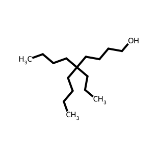 CCCCC(CCC)(CCCC)CCCCO